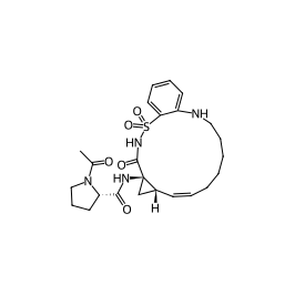 CC(=O)N1CCC[C@H]1C(=O)N[C@]12C[C@H]1/C=C\CCCCCNc1ccccc1S(=O)(=O)NC2=O